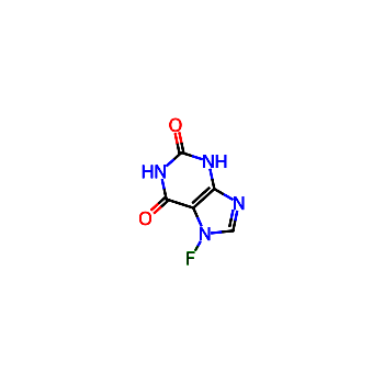 O=c1[nH]c(=O)c2c(ncn2F)[nH]1